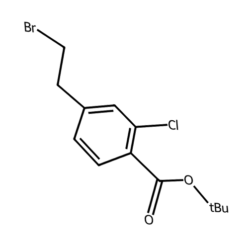 CC(C)(C)OC(=O)c1ccc(CCBr)cc1Cl